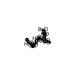 CC(C)(C)OC(=O)N1CCCC(OC(=O)NS(=O)(=O)NC2CCN(C(=O)Nc3nccnc3C(=O)NC3Cc4ccccc4C3)CC2)C1CC(=O)Cn1cnc2cc(Br)c(Cl)cc2c1=O